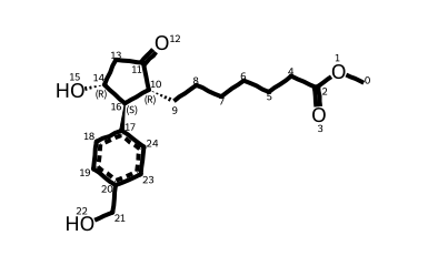 COC(=O)CCCCCC[C@H]1C(=O)C[C@@H](O)[C@@H]1c1ccc(CO)cc1